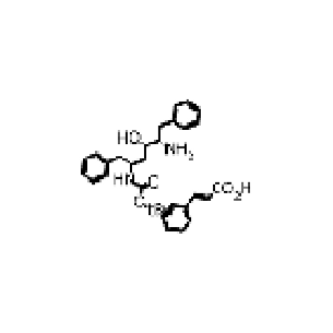 CC(C)(C)OC(=O)N[C@@H](Cc1ccccc1)C[C@H](O)[C@@H](N)Cc1ccccc1.O=C(O)/C=C/c1ccccc1